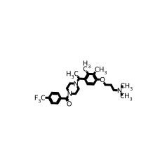 Cc1c(OCCCN(C)C)ccc(C(C)N2CCN(C(=O)c3ccc(C(F)(F)F)cc3)CC2)c1C